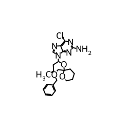 CCCC(OC1(COCc2ccccc2)CCCCO1)n1cnc2c(Cl)nc(N)nc21